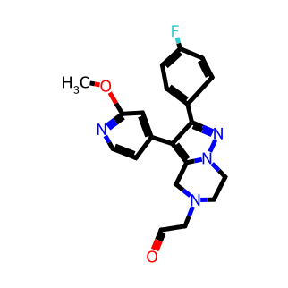 COc1cc(-c2c(-c3ccc(F)cc3)nn3c2CN(CC=O)CC3)ccn1